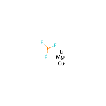 FP(F)F.[Cu].[Li].[Mg]